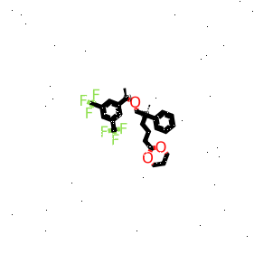 C[C@@H](OC[C@](C)(CCCC1OCCCO1)c1ccccc1)c1cc(C(F)(F)F)cc(C(F)(F)F)c1